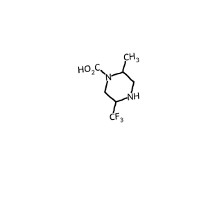 CC1CNC(C(F)(F)F)CN1C(=O)O